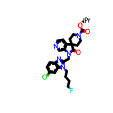 CC(C)OC(=O)N1CCC2(CC1)C(=O)N(Cc1nc3ccc(Cl)cc3n1CCCCF)c1cnccc12